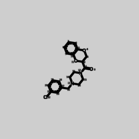 O=C(C1COc2ccccc2O1)N1CCN(Cc2cccc(Cl)c2)CC1